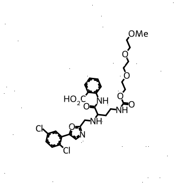 COCCOCCOCCOC(=O)NCCC(NCc1ncc(-c2cc(Cl)ccc2Cl)o1)C(=O)Nc1ccccc1C(=O)O